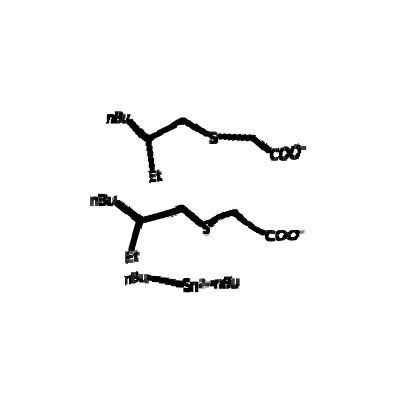 CCCCC(CC)CSCC(=O)[O-].CCCCC(CC)CSCC(=O)[O-].CCC[CH2][Sn+2][CH2]CCC